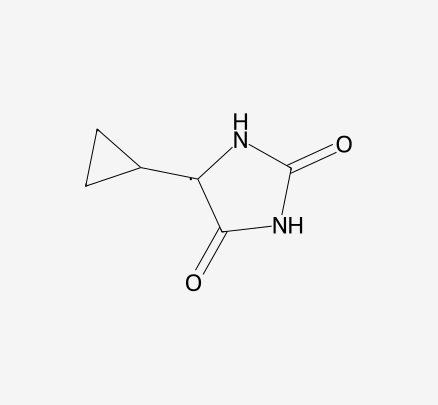 O=C1N[C](C2CC2)C(=O)N1